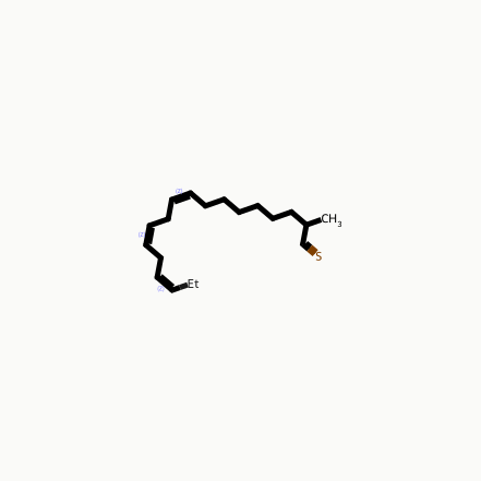 CC/C=C\C/C=C\C/C=C\CCCCCCC(C)C=S